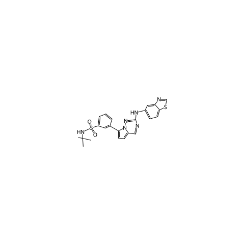 CC(C)(C)NS(=O)(=O)c1cccc(-c2ccc3cnc(Nc4ccc5scnc5c4)nn23)c1